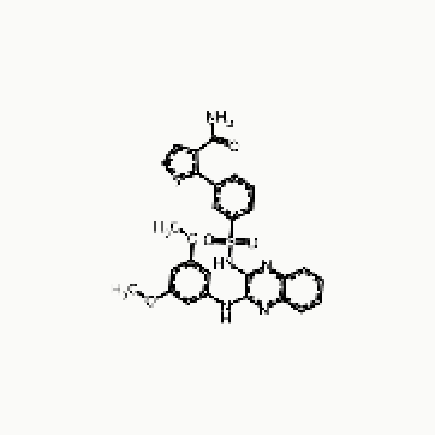 COc1cc(Nc2nc3ccccc3nc2NS(=O)(=O)c2cccc(-c3sccc3C(N)=O)c2)cc(OC)c1